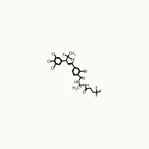 C[C@H](NC(=O)CCC(F)(F)F)NC(=O)c1ccc(/C(F)=C/C(c2cc(Cl)c(Cl)c(Cl)c2)C(C)(F)F)cc1Br